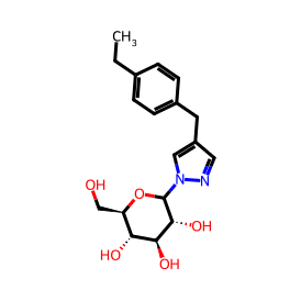 CCc1ccc(Cc2cnn(C3O[C@H](CO)[C@@H](O)[C@H](O)[C@H]3O)c2)cc1